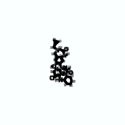 COc1cc2c(cc1Nc1ncc(Cl)c(N[C@@H]3CCCC[C@H]3NS(C)(=O)=O)n1)N(C)C(=O)CN(CC1CC1)C2